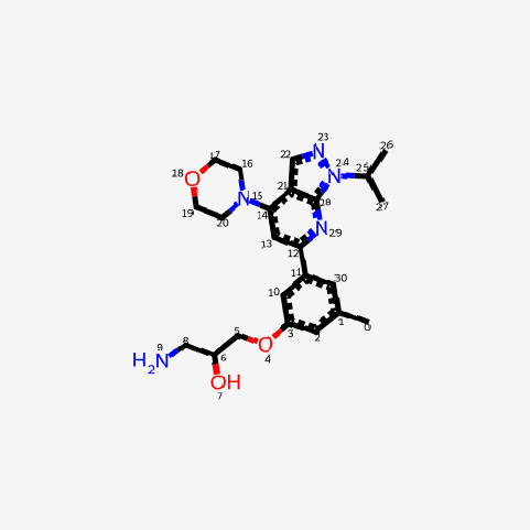 Cc1cc(OCC(O)CN)cc(-c2cc(N3CCOCC3)c3cnn(C(C)C)c3n2)c1